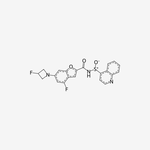 O=C(N[S+]([O-])c1ccnc2ccccc12)c1cc2c(F)cc(N3CC(F)C3)cc2o1